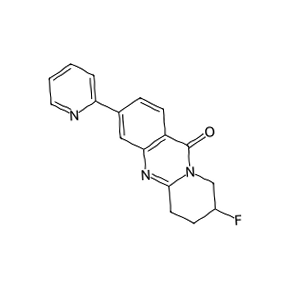 O=c1c2ccc(-c3ccccn3)cc2nc2n1CC(F)CC2